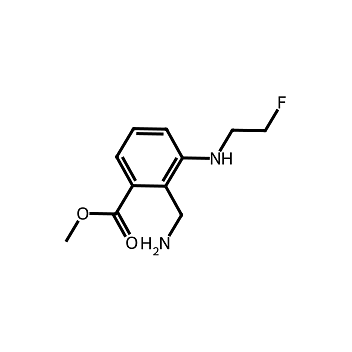 COC(=O)c1cccc(NCCF)c1CN